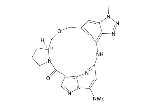 CNc1cc2nc3c(cnn13)C(=O)N1CCC[C@H]1COCc1cc(c3nnn(C)c3c1)N2